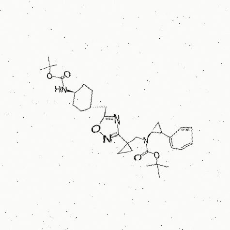 CC(C)(C)OC(=O)N[C@H]1CC[C@H](Cc2nc(C3(CN(C(=O)OC(C)(C)C)[C@H]4CC4c4ccccc4)CC3)no2)CC1